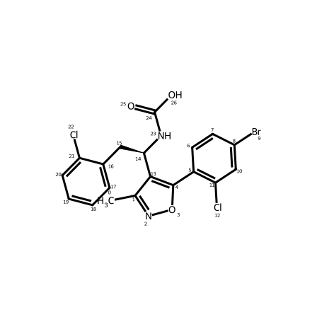 Cc1noc(-c2ccc(Br)cc2Cl)c1[C@@H](Cc1ccccc1Cl)NC(=O)O